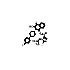 Cc1ncc([N+](=O)[O-])n1CC(C)O.O=C1C(O)=C([C@H]2CC[C@H](c3ccc(Cl)cc3)CC2)C(=O)c2ccccc21